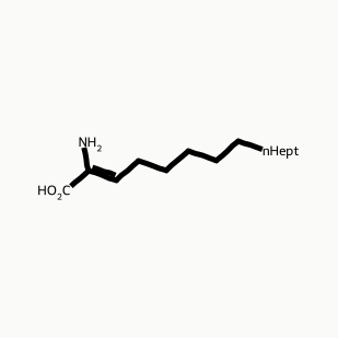 CCCCCCCCCCCC/C=C(\N)C(=O)O